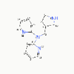 c1ccc(N(CC2CCNC2)c2ccccn2)nc1